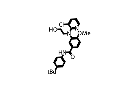 COc1ccc(C(=O)Nc2ccc(C(C)(C)C)cc2)cc1N(CCO)c1ncccc1Cl